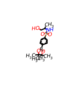 CC(CO)NS(=O)(=O)c1ccc(B2OC(C)(C)C(C)(C)O2)cc1